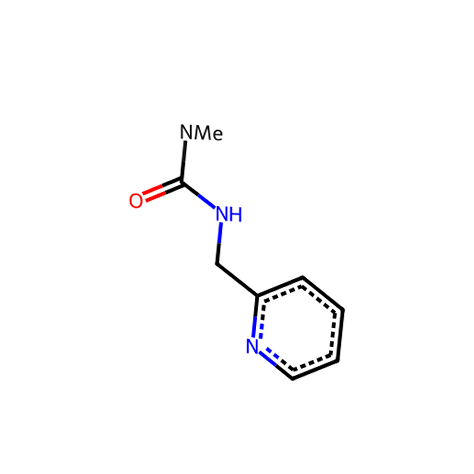 CNC(=O)NCc1ccccn1